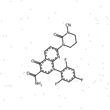 N#CN1CCCN(c2ccc3c(=O)c(C(N)=O)cn(-c4c(F)cc(F)cc4F)c3n2)C1=O